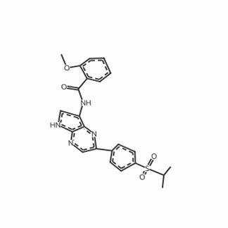 COc1ccccc1C(=O)Nc1c[nH]c2ncc(-c3ccc(S(=O)(=O)C(C)C)cc3)nc12